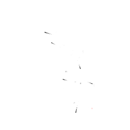 CCC(O)[C@H]1CCC[C@H]2[C@@H]3CC[C@@H]4C[C@](C)(O)CC[C@@H]4[C@H]3CC[C@]12C